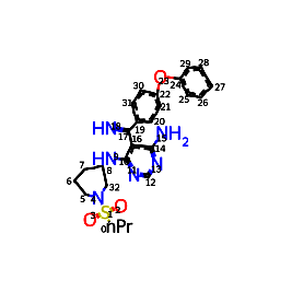 CCCS(=O)(=O)N1CCCC(Nc2ncnc(N)c2C(=N)c2ccc(Oc3ccccc3)cc2)C1